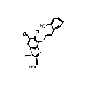 Cn1c(CO)nc2c(OCCc3ccccc3O)c(Cl)c(Cl)cc21